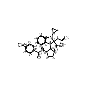 O=CCC(NC1CC1)(C(=O)O)C1c2ccccc2N(C(=O)c2ccc(Cl)cc2)C2CCCC21